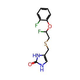 O=c1[nH]cc(CSCC(F)Oc2ccccc2F)[nH]1